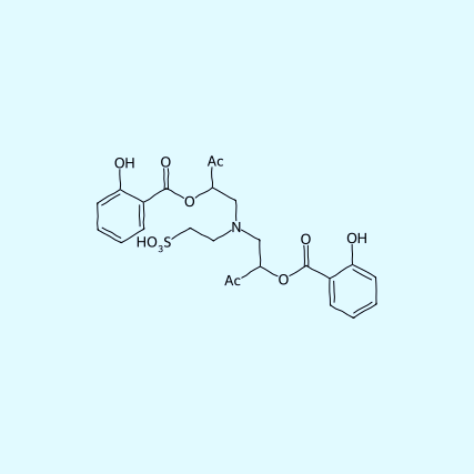 CC(=O)C(CN(CCS(=O)(=O)O)CC(OC(=O)c1ccccc1O)C(C)=O)OC(=O)c1ccccc1O